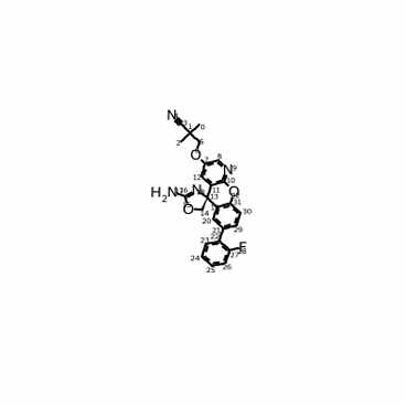 CC(C)(C#N)COc1cnc2c(c1)[C@]1(COC(N)=N1)c1cc(-c3ccccc3F)ccc1O2